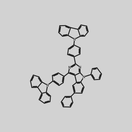 c1ccc(-c2ccc3c(c2)c2c(-c4ccc(-n5c6ccccc6c6ccccc65)cc4)nc(-c4ccc(-n5c6ccccc6c6ccccc65)cc4)nc2n3-c2ccccc2)cc1